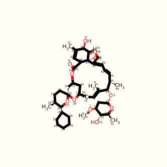 CO[C@H]1C[C@H](O[C@@H]2/C(C)=C/C[C@@H]3CC(C[C@]4(CC[C@H](C)[C@@H](C5CCCCC5)O4)O3)OC(=O)C3C=C(C)[C@@H](O)[C@H]4OC/C(=C\C=C\[C@@H]2C)[C@@]34O)O[C@@H](C)[C@@H]1O